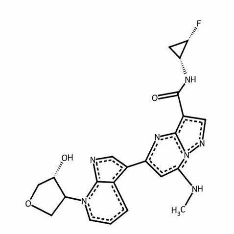 CNc1cc(-c2cnc3n(C4COC[C@@H]4O)cccc2-3)nc2c(C(=O)N[C@@H]3C[C@@H]3F)cnn12